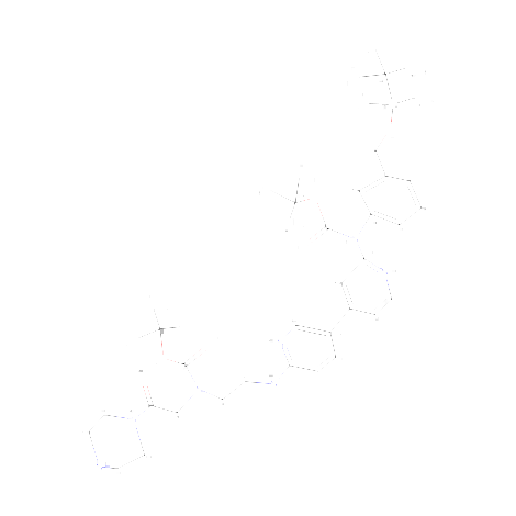 CC(C)(C)OC(=O)N(CCNc1ccc(-c2ccnc(N(C(=O)OC(C)(C)C)c3cccc(CO[Si](C)(C)C(C)(C)C)c3)c2)cn1)CC(=O)N1CCNCC1